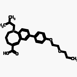 CCCOCCOc1ccc(-c2ccc3c(c2)/C=C(/C(=O)O)CCCN3CC(C)C)cc1